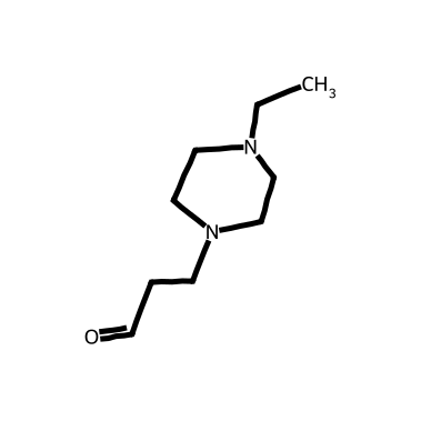 CCN1CCN(CCC=O)CC1